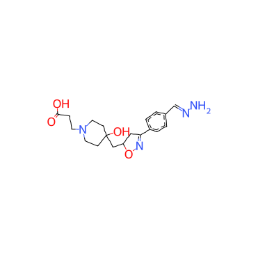 NN=Cc1ccc(C2=NOC(CC3(O)CCN(CCC(=O)O)CC3)C2)cc1